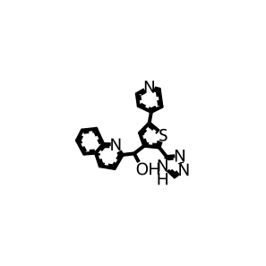 OC(c1ccc2ccccc2n1)c1cc(-c2ccncc2)sc1-c1nnc[nH]1